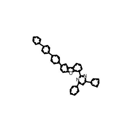 c1ccc(-c2ccc(-c3ccc(-c4ccc5oc6c(-c7nc(-c8ccccc8)cc(-c8ccccc8)n7)cccc6c5c4)cc3)cc2)cc1